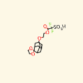 O=C(OCCOC12CC3CC(C1)C1(OCCO1)C(C3)C2)C(F)(F)S(=O)(=O)O